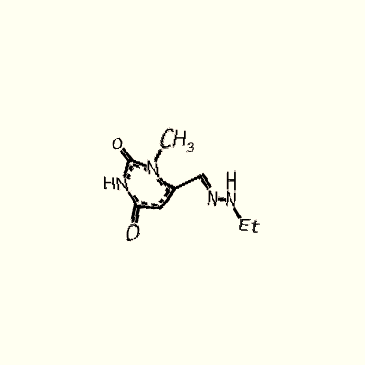 CCNN=Cc1cc(=O)[nH]c(=O)n1C